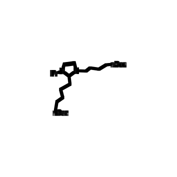 CCCCCCCCCCCCCCC1N(CCCCCCCCCCCCCC)C=CN1C(C)C